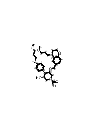 COCCCOc1ccc([C@@H]2[C@H](O)CN(C(=O)O)C[C@@H]2OCc2ccc3c(c2)N(CCCOC)CCO3)cc1